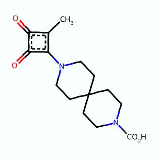 Cc1c(N2CCC3(CCN(C(=O)O)CC3)CC2)c(=O)c1=O